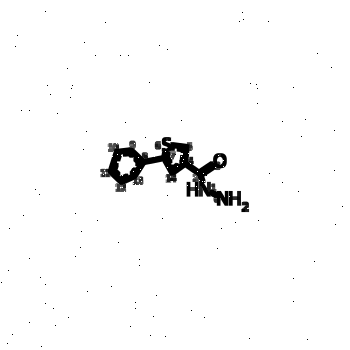 NNC(=O)c1csc(-c2ccccc2)c1